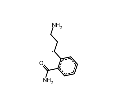 NCC[CH]c1ccccc1C(N)=O